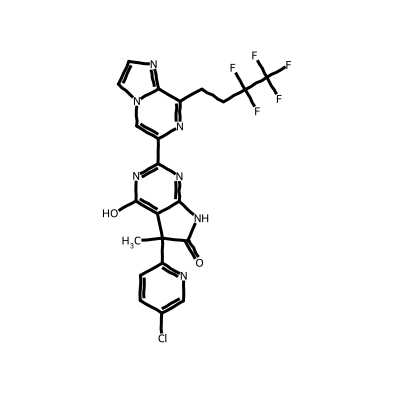 CC1(c2ccc(Cl)cn2)C(=O)Nc2nc(-c3cn4ccnc4c(CCC(F)(F)C(F)(F)F)n3)nc(O)c21